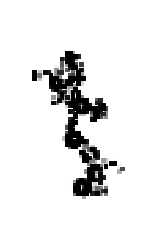 Cc1ncsc1-c1ccc(CNC(=O)[C@@H]2C[C@@H](O)CN2C(=O)[C@@H](NC(=O)C2(F)CC2)C(C)(C)C)c(OCCc2cccc(CN3CCN(c4cc(-c5ccccc5O)nnc4N)CC3)c2)c1